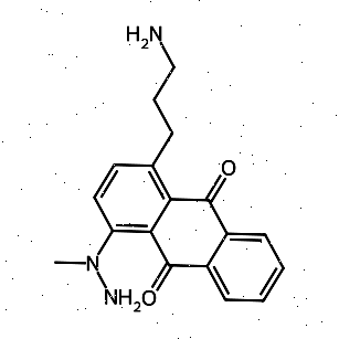 CN(N)c1ccc(CCCN)c2c1C(=O)c1ccccc1C2=O